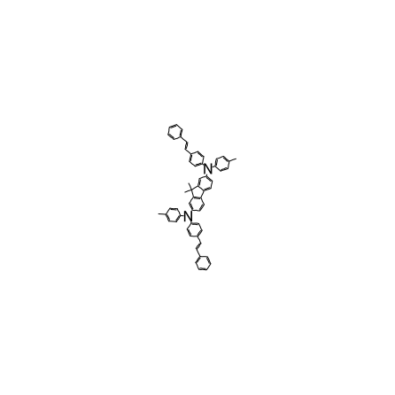 Cc1ccc(N(c2ccc(/C=C/c3ccccc3)cc2)c2ccc3c(c2)C(C)(C)c2cc(N(c4ccc(C)cc4)c4ccc(/C=C/c5ccccc5)cc4)ccc2-3)cc1